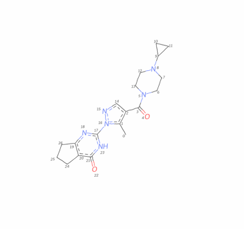 Cc1c(C(=O)N2CCN(C3CC3)CC2)cnn1-c1nc2c(c(=O)[nH]1)CCC2